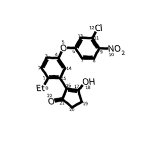 CCc1ccc(Oc2ccc([N+](=O)[O-])c(Cl)c2)cc1C1=C(O)CCC1=O